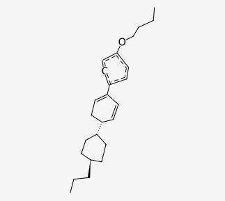 CCCCOc1ccc(C2=CCC([C@H]3CC[C@H](CCC)CC3)C=C2)cc1